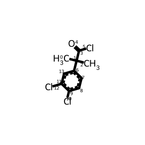 CC(C)(C(=O)Cl)c1ccc(Cl)c(Cl)c1